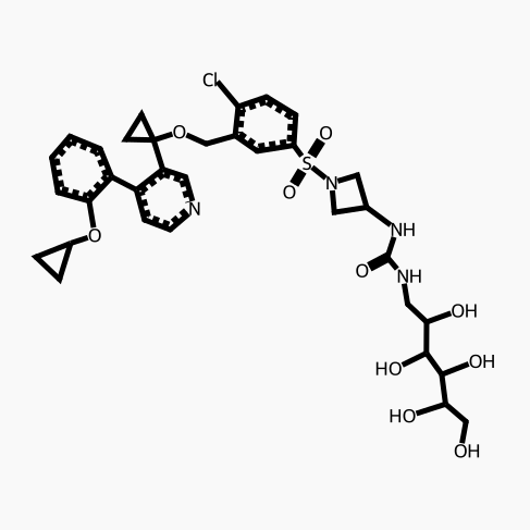 O=C(NCC(O)C(O)C(O)C(O)CO)NC1CN(S(=O)(=O)c2ccc(Cl)c(COC3(c4cnccc4-c4ccccc4OC4CC4)CC3)c2)C1